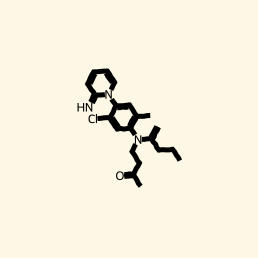 C=C(CCC)N(CCC(C)=O)c1cc(Cl)c(-n2ccccc2=N)cc1C